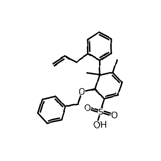 C=CCc1ccccc1C1(C)C(C)=CC=C(S(=O)(=O)O)C1OCc1ccccc1